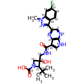 Cn1nc(-c2cnc3[nH]cc(C(=O)NCC4(O)CN(C(=O)O)C4C(C)(C)C)c3n2)c2ccc(F)cc21